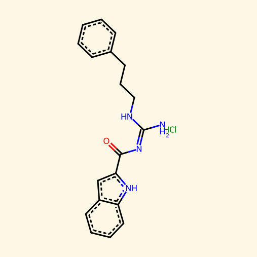 Cl.NC(=NC(=O)c1cc2ccccc2[nH]1)NCCCc1ccccc1